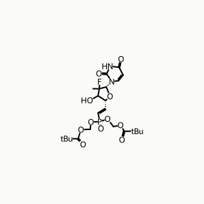 CC(C)(C)C(=O)OCOP(=O)(/C=C/[C@H]1O[C@@H](n2ccc(=O)[nH]c2=O)C(C)(F)C1O)OCOC(=O)C(C)(C)C